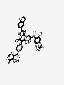 [2H]C([2H])([2H])Sc1ccc(NC(=O)Cn2c(CC)c(N3CCN(C(=O)c4ncnc(C)c4O)CC3)c(=O)n3nc(-c4ccc5c(c4)CCO5)nc23)c(Cl)c1